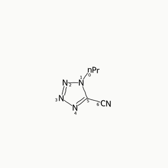 CCCn1nnnc1C#N